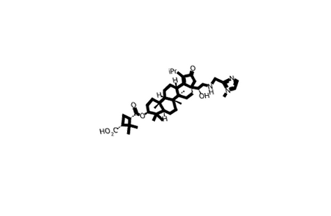 CC(C)C1=C2[C@H]3CC[C@@H]4[C@@]5(C)CC[C@H](OC(=O)[C@H]6C[C@@H](C(=O)O)C6(C)C)C(C)(C)[C@@H]5CC[C@@]4(C)[C@]3(C)CC[C@@]2([C@@H](O)CNCc2nccn2C)CC1=O